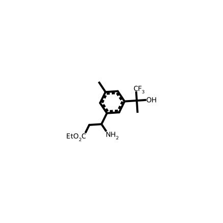 CCOC(=O)CC(N)c1cc(C)cc(C(C)(O)C(F)(F)F)c1